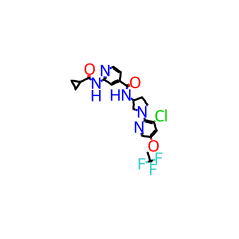 O=C(NC1CCN(c2ncc(OCC(F)(F)F)cc2Cl)C1)c1ccnc(NC(=O)C2CC2)c1